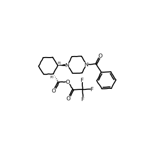 O=C(OC(=O)C(F)(F)F)[C@@H]1CCCC[C@H]1N1CCN(C(=O)c2ccccc2)CC1